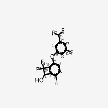 OC1c2c(I)ccc(Oc3cc(F)cc(C(F)F)c3)c2C1(F)F